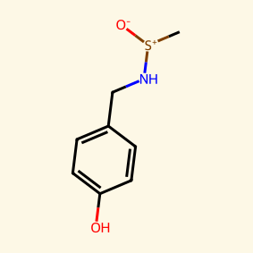 C[S+]([O-])NCc1ccc(O)cc1